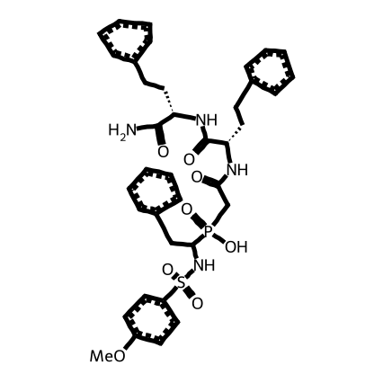 COc1ccc(S(=O)(=O)NC(Cc2ccccc2)P(=O)(O)CC(=O)N[C@@H](CCc2ccccc2)C(=O)N[C@@H](CCc2ccccc2)C(N)=O)cc1